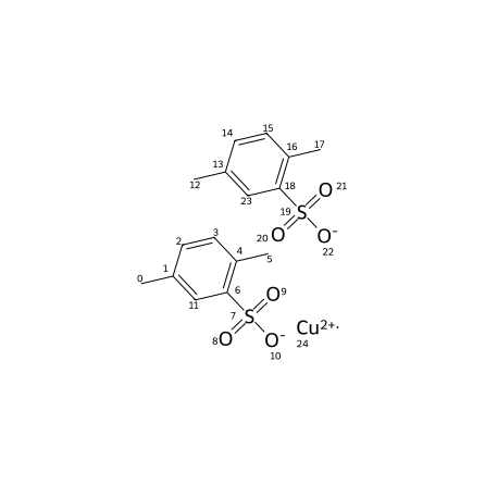 Cc1ccc(C)c(S(=O)(=O)[O-])c1.Cc1ccc(C)c(S(=O)(=O)[O-])c1.[Cu+2]